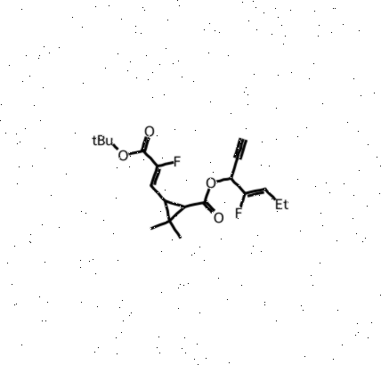 C#CC(OC(=O)C1C(C=C(F)C(=O)OC(C)(C)C)C1(C)C)C(F)=CCC